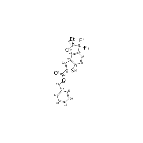 CCP(Cl)C(F)(F)c1ccc2sc(C(=O)OCc3ccccc3)cc2c1